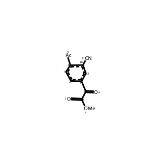 COC(=O)C(=O)c1ccc(C(C)=O)c(C#N)c1